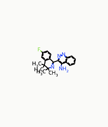 CC1(C)N=C(c2nnc3ccccc3c2N)c2ccc(F)cc2C1(C)C